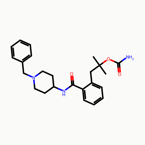 CC(C)(Cc1ccccc1C(=O)NC1CCN(Cc2ccccc2)CC1)OC(N)=O